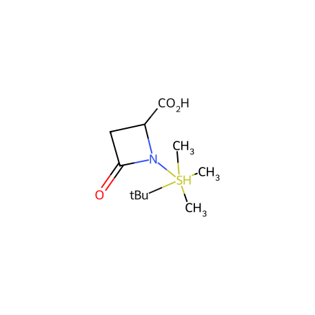 CC(C)(C)[SH](C)(C)(C)N1C(=O)CC1C(=O)O